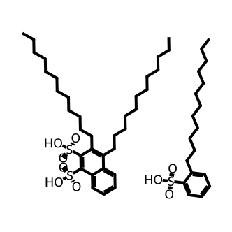 CCCCCCCCCCCCc1c(S(=O)(=O)O)c(S(=O)(=O)O)c2ccccc2c1CCCCCCCCCCCC.CCCCCCCCCCCCc1ccccc1S(=O)(=O)O